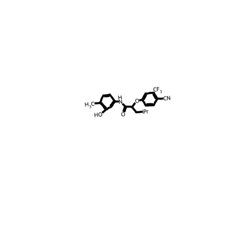 Cc1ccc(NC(=O)C(CC(C)C)Oc2ccc(C#N)c(C(F)(F)F)c2)cc1O